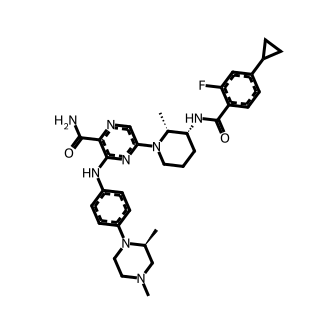 C[C@@H]1[C@H](NC(=O)c2ccc(C3CC3)cc2F)CCCN1c1cnc(C(N)=O)c(Nc2ccc(N3CCN(C)C[C@@H]3C)cc2)n1